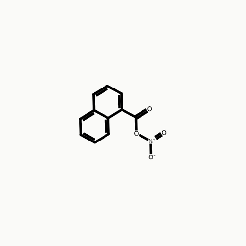 O=C(O[N+](=O)[O-])c1cccc2ccccc12